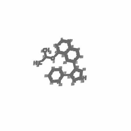 CC(C)Oc1ncnc2ccc(-c3c[nH]nc3-c3ccccn3)cc12